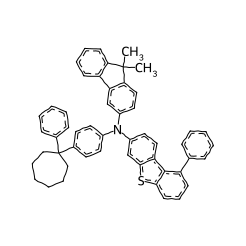 CC1(C)c2ccccc2-c2cc(N(c3ccc(C4(c5ccccc5)CCCCCC4)cc3)c3ccc4c(c3)sc3cccc(-c5ccccc5)c34)ccc21